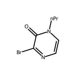 CCCn1ccnc(Br)c1=O